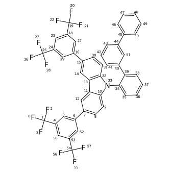 FC(F)(F)c1cc(-c2ccc3c(c2)c2cc(-c4cc(C(F)(F)F)cc(C(F)(F)F)c4)ccc2n3-c2ccccc2-c2cccc(-c3ccccc3)c2)cc(C(F)(F)F)c1